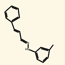 Cc1cccc(NN=C/C=C/c2ccccc2)c1